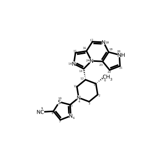 C[C@@H]1CCN(c2ncc(C#N)s2)C[C@@H]1c1ncc2cnc3[nH]ccc3n12